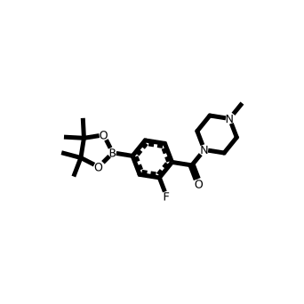 CN1CCN(C(=O)c2ccc(B3OC(C)(C)C(C)(C)O3)cc2F)CC1